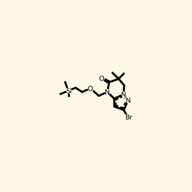 CC1(C)Cn2nc(Br)cc2N(COCC[Si](C)(C)C)C1=O